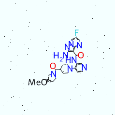 CO[C@@H]1CCN(C(=O)C2CCN(c3ccncc3NC(=O)c3c(N)nn4cc(F)cnc34)CC2)C1